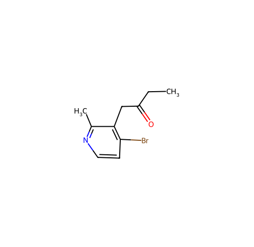 CCC(=O)Cc1c(Br)ccnc1C